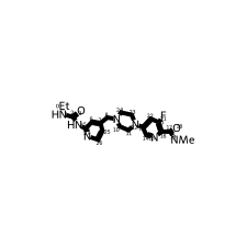 CCNC(=O)Nc1cc(CN2CCN(c3cnc(C(=O)NC)c(F)c3)CC2)ccn1